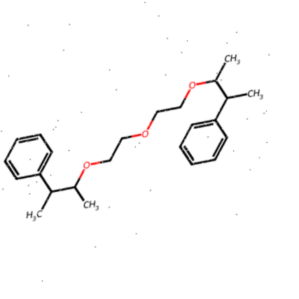 CC(OCCOCCOC(C)C(C)c1ccccc1)C(C)c1ccccc1